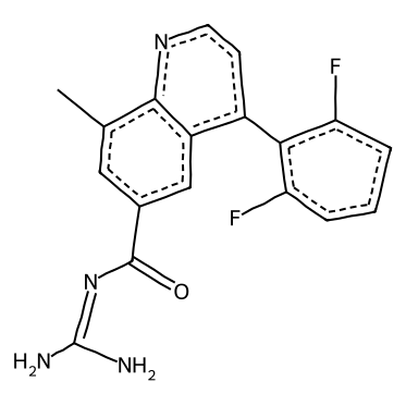 Cc1cc(C(=O)N=C(N)N)cc2c(-c3c(F)cccc3F)ccnc12